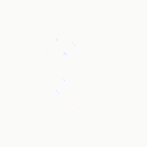 CCc1nc2c([nH]1)C(=O)C(=O)c1ccccc1-2.CCc1nc2c(n1CC(F)(F)F)C(=O)C(=O)c1ccccc1-2